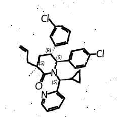 C=CC[C@@]1(C)C[C@H](c2cccc(Cl)c2)[C@@H](c2ccc(Cl)cc2)N([C@H](c2ccccn2)C2CC2)C1=O